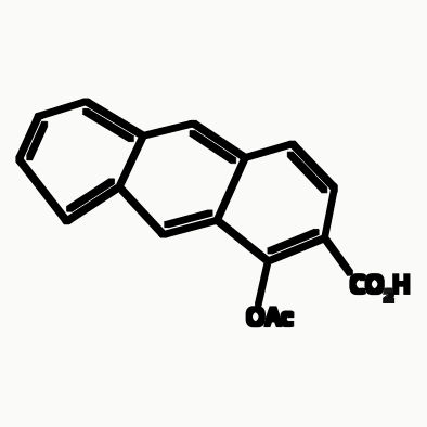 CC(=O)Oc1c(C(=O)O)ccc2cc3ccccc3cc12